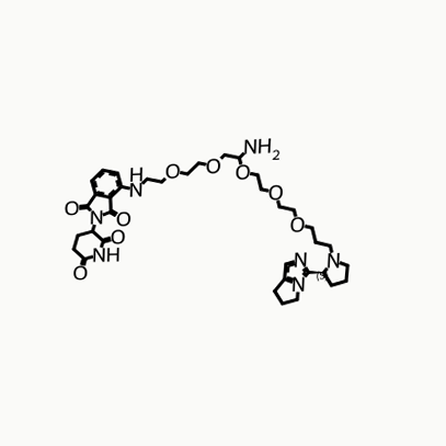 NC(COCCOCCNc1cccc2c1C(=O)N(C1CCC(=O)NC1=O)C2=O)OCCOCCOCCCN1CCC[C@H]1c1ncc2n1CCC2